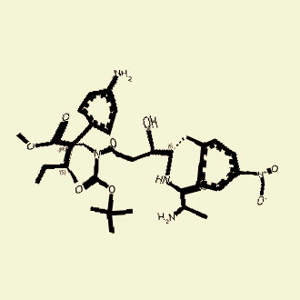 CC[C@H](C)[C@](C(=O)OC)(c1ccc(N)cc1)N(C(=O)CC(O)[C@H](Cc1ccc([N+](=O)[O-])cc1)NC(=O)C(C)N)C(=O)OC(C)(C)C